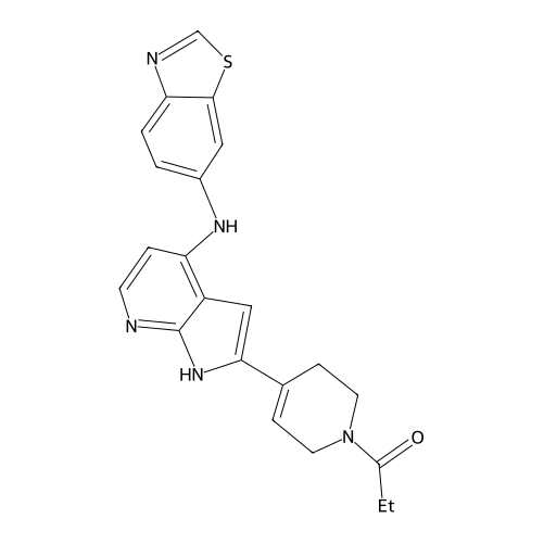 CCC(=O)N1CC=C(c2cc3c(Nc4ccc5ncsc5c4)ccnc3[nH]2)CC1